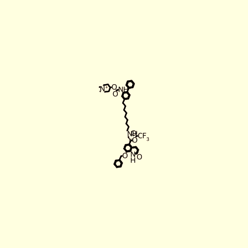 C[N+]1(C)CCC(OC(=O)Nc2cc(CCCCCCCCCNC[C@@H](OC(=O)C(F)(F)F)c3ccc(OCc4ccccc4)c4[nH]c(=O)ccc34)ccc2-c2ccccc2)CC1